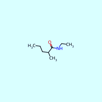 CCCC(C)C(=O)NCC